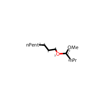 [CH2]CCC(OC)OCCCCCCCC